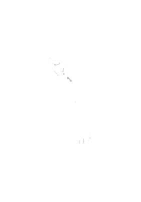 CCCSCCCCCCCCCCC#Cc1ccc(F)cc1